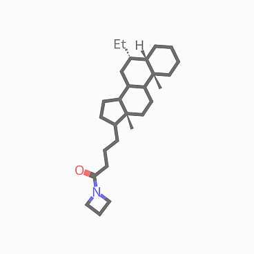 CC[C@H]1CC2C3CCC(CCCC(=O)N4CCC4)[C@@]3(C)CCC2[C@@]2(C)CCCC[C@@H]12